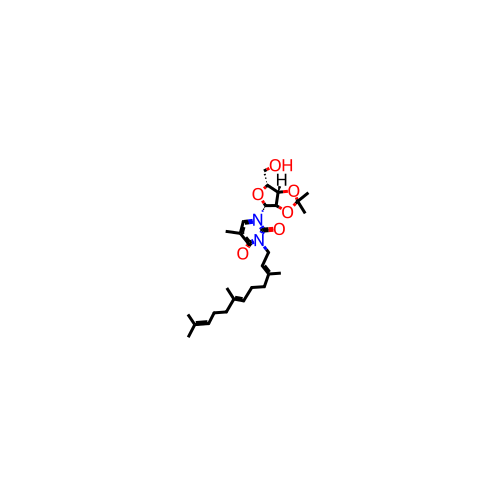 CC(C)=CCC/C(C)=C/CC/C(C)=C/Cn1c(=O)c(C)cn([C@@H]2O[C@H](CO)[C@@H]3OC(C)(C)OC32)c1=O